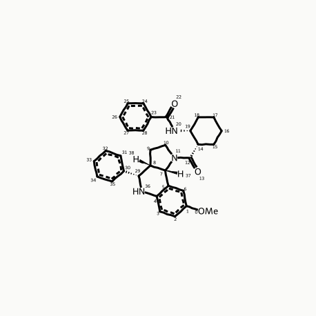 COc1ccc2c(c1)[C@@H]1[C@@H](CCN1C(=O)[C@H]1CCCC[C@H]1NC(=O)c1ccccc1)[C@@H](c1ccccc1)N2